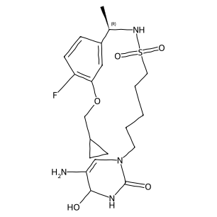 C[C@@H](NS(=O)(=O)CCCCCN1C=C(N)C(O)NC1=O)c1ccc(F)c(OCC2CC2)c1